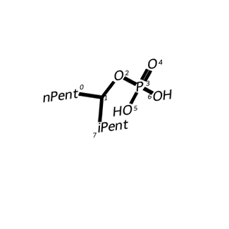 CCCCCC(OP(=O)(O)O)C(C)CCC